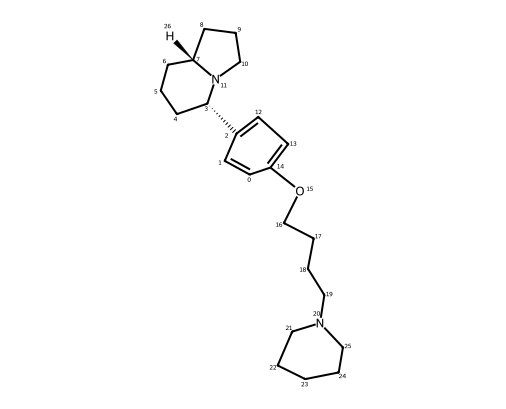 c1cc([C@@H]2CCC[C@@H]3CCCN32)ccc1OCCCCN1CCCCC1